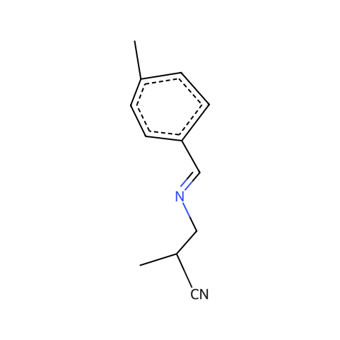 Cc1ccc(C=NCC(C)C#N)cc1